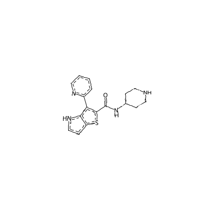 O=C(NC1CCNCC1)c1sc2cc[nH]c2c1-c1ccccn1